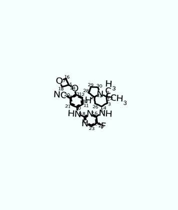 CC1(C)C[C@H](Nc2nc(Nc3ccc(OC4COC4)c(C#N)c3)ncc2F)C[C@H]2CCCN21